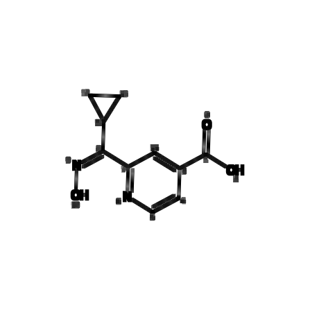 O=C(O)c1ccnc(/C(=N\O)C2CC2)c1